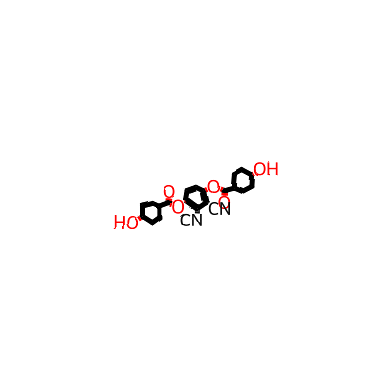 N#Cc1c(OC(=O)C2CCC(O)CC2)ccc(OC(=O)C2CCC(O)CC2)c1C#N